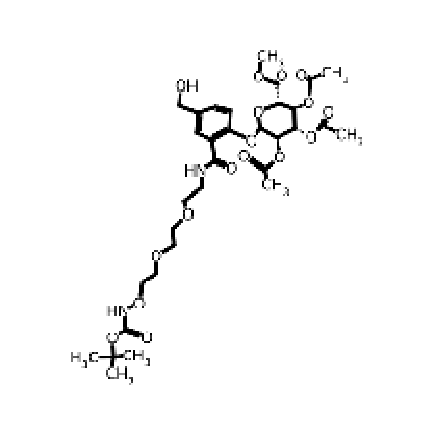 COC(=O)[C@H]1OC(Oc2ccc(CO)cc2C(=O)NCCOCCOCCONC(=O)OC(C)(C)C)[C@H](OC(C)=O)[C@@H](OC(C)=O)[C@@H]1OC(C)=O